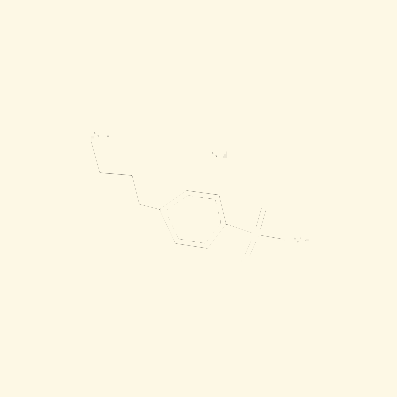 CCCCCCCCCCCCc1ccc(S(=O)(=O)OC)cc1.[NaH]